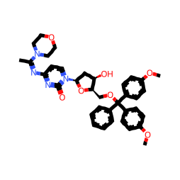 COc1ccc(C(OC[C@H]2O[C@@H](n3ccc(/N=C(/C)N4CCOCC4)nc3=O)C[C@H]2O)(c2ccccc2)c2ccc(OC)cc2)cc1